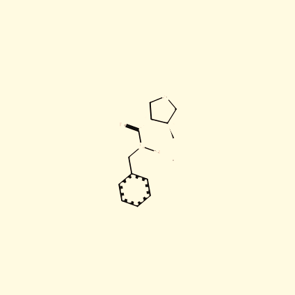 C[C@@H]1CNC[C@H]1C(=N)N(N)Cc1ccccc1.Cl